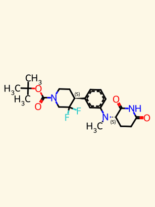 CN(c1cccc([C@@H]2CCN(C(=O)OC(C)(C)C)CC2(F)F)c1)[C@H]1CCC(=O)NC1=O